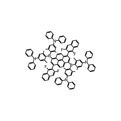 Cc1cc(N(c2ccccc2)c2ccccc2)cc(C)c1B(c1c(C)cc(N(c2ccccc2)c2ccccc2)cc1C)c1cc(-c2c(F)cc3ccccc3c2F)c2ccc3c(B(c4c(C)cc(N(c5ccccc5)c5ccccc5)cc4C)c4c(C)cc(N(c5ccccc5)c5ccccc5)cc4C)cc(-c4c(F)cc5ccccc5c4F)c4ccc1c2c34